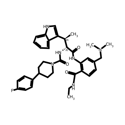 CCNC(=O)c1ccc(CN(C)C)cc1NC(=O)[C@H](NC(=O)N1CCC(c2ccc(F)cc2)CC1)[C@H](C)c1c[nH]c2ccccc12